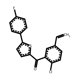 C=Cc1ccc(Cl)c(C(=O)c2ccc(-c3ccc(F)cc3)s2)c1